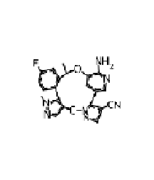 CC1Oc2cc(cnc2N)-c2c(C#N)cnn2Cc2cnn(C)c2-c2ccc(F)cc21